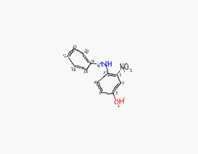 O=[N+]([O-])c1cc(O)ccc1Nc1ccccc1